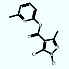 CCn1nc(C)c(C(=O)Oc2cccc(C)n2)c1Cl